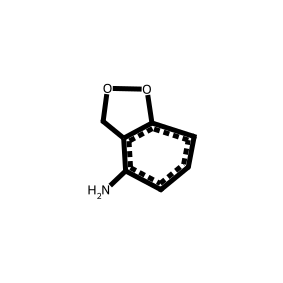 Nc1cccc2c1COO2